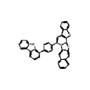 c1ccc2cc3c(cc2c1)nc1c2sc4ccccc4c2cc(-c2ccc(-c4cccc5c4sc4ccccc45)cc2)n31